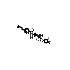 O=C(COc1ccc(Cl)c(F)c1)NC12CC(NC(=O)c3ccc(CCC4CC4)cn3)(C1)C2